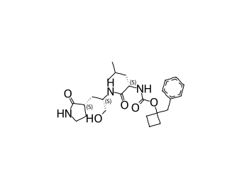 CC(C)C[C@H](NC(=O)OC1(Cc2ccccc2)CCC1)C(=O)N[C@H](CO)C[C@@H]1CCNC1=O